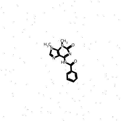 Cn1cnc2c(NC(=O)c3ccccc3)nc(=O)n(C)c21